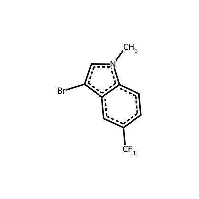 Cn1cc(Br)c2cc(C(F)(F)F)ccc21